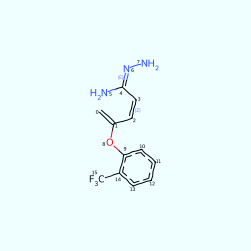 C=C(/C=C\C(N)=N/N)Oc1ccccc1C(F)(F)F